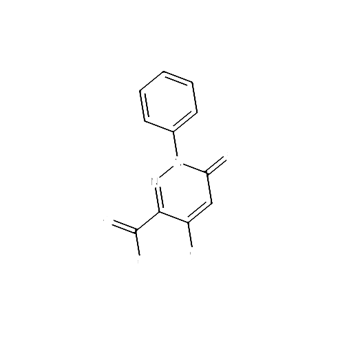 O=C(Cl)c1nn(-c2ccccc2)c(=O)cc1Cl